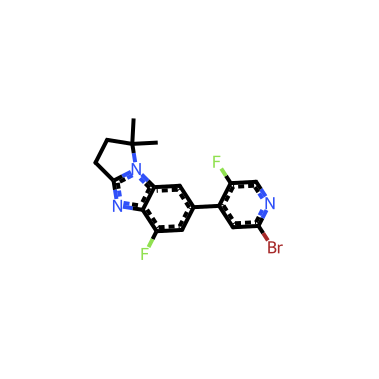 CC1(C)CCc2nc3c(F)cc(-c4cc(Br)ncc4F)cc3n21